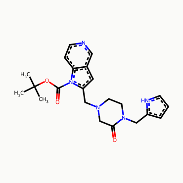 CC(C)(C)OC(=O)n1c(CN2CCN(Cc3ccc[nH]3)C(=O)C2)cc2cnccc21